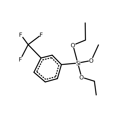 CCO[Si](OC)(OCC)c1cccc(C(F)(F)F)c1